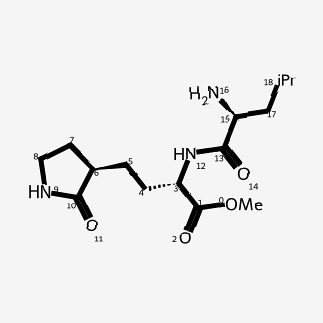 COC(=O)[C@H](CC[C@@H]1CCNC1=O)NC(=O)[C@@H](N)CC(C)C